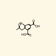 CC(=O)Cc1c(Br)cc(C(=O)O)cc1C(=O)O